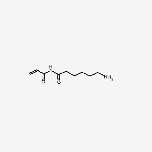 C=CC(=O)NC(=O)CCCCCN